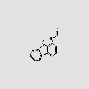 S=CNc1cccc2c1[nH]c1ccccc12